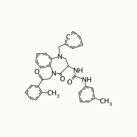 Cc1cccc(NC(=O)NC2CN(Cc3ccccc3)c3ccccc3N(CC(=O)c3ccccc3C)C2=O)c1